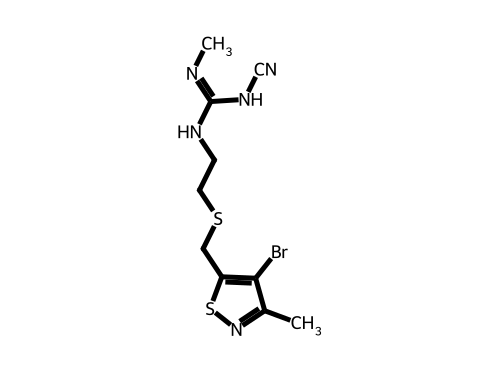 C/N=C(\NC#N)NCCSCc1snc(C)c1Br